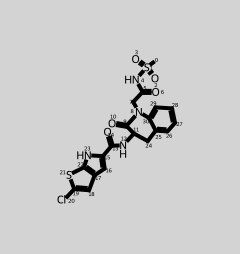 CS(=O)(=O)NC(=O)CN1C(=O)C(NC(=O)c2cc3cc(Cl)sc3[nH]2)Cc2ccccc21